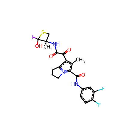 Cc1c(C(=O)C(=O)N[C@@]2(C)CSC2(O)I)c2n(c1C(=O)Nc1ccc(F)c(F)c1)CCC2